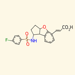 O=C(O)C=Cc1cccc2c1OC1CCC(NS(=O)(=O)c3ccc(F)cc3)C21